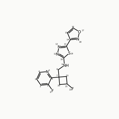 Fc1cccnc1C1(CNc2nnc(-c3ccon3)s2)CC(F)C1